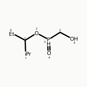 CCC(O[PH](=O)CO)C(C)C